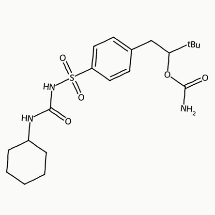 CC(C)(C)C(Cc1ccc(S(=O)(=O)NC(=O)NC2CCCCC2)cc1)OC(N)=O